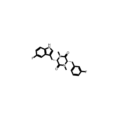 CN1C(=O)[C@H](Cc2c[nH]c3ccc(F)cc23)N(C)C(=O)[C@@H]1Cc1cccc(F)c1